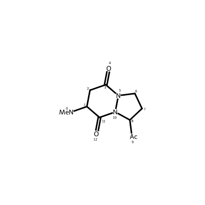 CNC1CC(=O)N2CCC(C(C)=O)N2C1=O